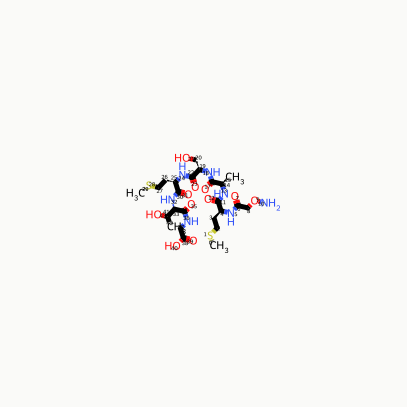 CSCC[C@H](NC(=O)CON)C(=O)N[C@@H](C)C(=O)N[C@@H](CO)C(=O)N[C@@H](CCSC)C(=O)N[C@H](C(=O)NCC(=O)O)C(C)O